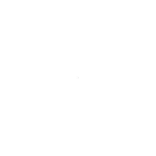 C=CCc1cccc([Si](C)(C)c2cccc(CC=C)c2)c1